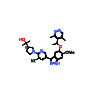 COc1cc2[nH]nc(-c3cnc(N4CC[C@@H](C(C)(C)O)C4)c(C#N)c3)c2cc1OC(C)c1c(C)cnnc1C